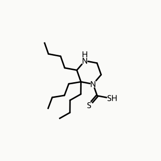 CCCCC1NCCN(C(=S)S)C1(CCCC)CCCC